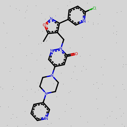 Cc1onc(-c2ccc(Cl)nc2)c1Cn1ncc(N2CCN(c3cccnc3)CC2)cc1=O